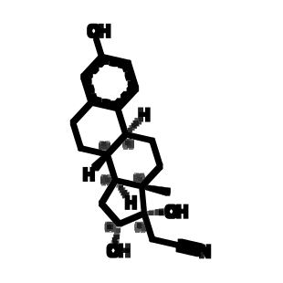 C[C@]12CC[C@@H]3c4ccc(O)cc4CC[C@H]3[C@@H]1C[C@@H](O)[C@]2(O)CC#N